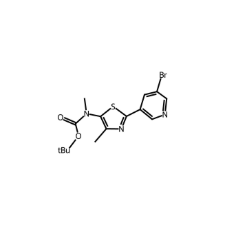 Cc1nc(-c2cncc(Br)c2)sc1N(C)C(=O)OC(C)(C)C